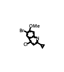 COc1cc2nc(C3CC3)cc(Cl)c2cc1Br